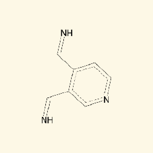 N=Cc1ccncc1C=N